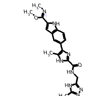 C/N=C(\OC)c1cc2cc(-c3nc(C(=O)NCc4nnc(C)[nH]4)[nH]c3C)ccc2[nH]1